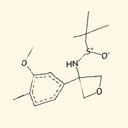 COc1cc(C2(N[S+]([O-])C(C)(C)C)COC2)ccc1C